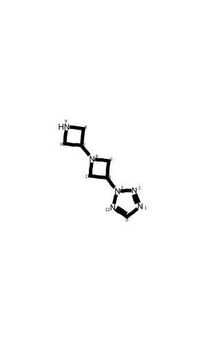 c1nnn(C2CN(C3CNC3)C2)n1